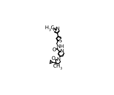 Cn1cc(-c2csc(CNC(=O)c3cc(N4CC[C@@](C)(C5CC5)C4=O)ccn3)c2)cn1